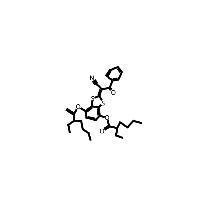 C=C(Oc1ccc(OC(=O)C(CC)CCCC)c2c1S/C(=C(\C#N)C(=O)c1ccccc1)S2)C(CC)CCCC